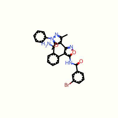 Cc1nn(-c2ccccc2)c(C)c1-c1noc(NC(=O)c2cccc(Br)c2)c1-c1ccccc1C(N)=O